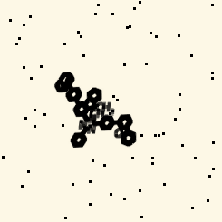 CC1(C)c2ccccc2-c2c(-c3ccc(C45CC6CC(CC(C6)C4)C5)cc3)ccc(-c3nc(-c4ccccc4)nc(-c4ccc(-c5cccc6c5oc5ccccc56)cc4)n3)c21